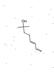 C=CC=CCCC(C)(C)O